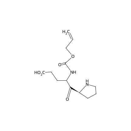 C=CCOC(=O)NC(CCC(=O)O)C(=O)[C@@H]1CCCN1